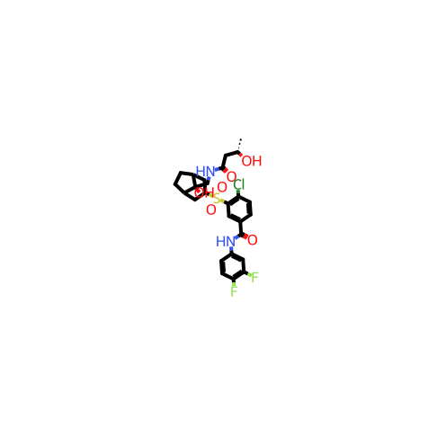 C[C@H](O)CC(=O)NCC1(O)C2CCC1CC(S(=O)(=O)c1cc(C(=O)Nc3ccc(F)c(F)c3)ccc1Cl)C2